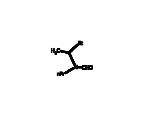 CCCN(C=O)C(C)CC